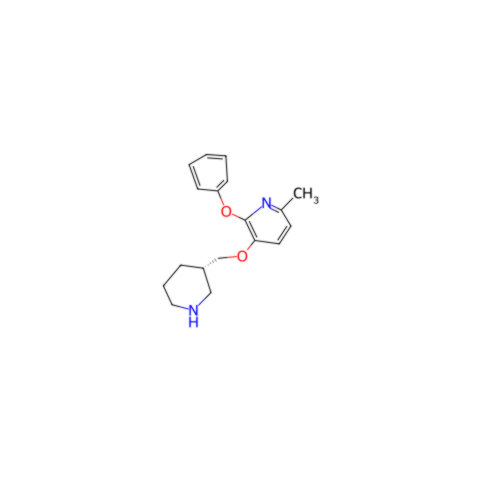 Cc1ccc(OC[C@H]2CCCNC2)c(Oc2ccccc2)n1